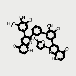 Cc1ccc(-c2nc3[nH]ccc(=O)c3cc2-c2cc(Cl)c(C#N)c(-c3cccc(-c4nc5[nH]ccc(=O)c5cc4-c4cc(C)c(C#N)c(Cl)c4)c3)c2)o1